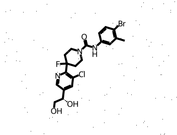 Cc1cc(NC(=O)N2CCC(F)(c3ncc([C@H](O)CO)cc3Cl)CC2)ccc1Br